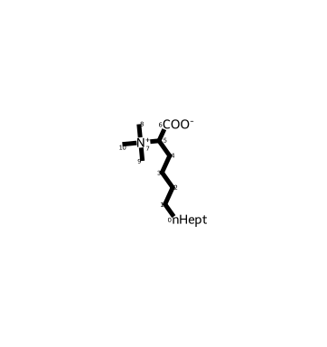 CCCCCCCCCCCC(C(=O)[O-])[N+](C)(C)C